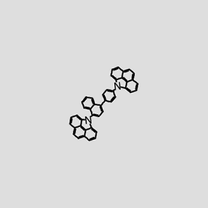 c1ccc2c(-n3c4cccc5ccc6cccc3c6c54)ccc(-c3ccc(-n4c5cccc6ccc7cccc4c7c65)cc3)c2c1